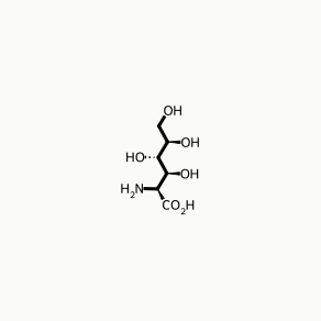 N[C@H](C(=O)O)[C@H](O)[C@H](O)[C@H](O)CO